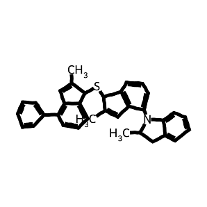 CC1=Cc2c(-c3ccccc3)cccc2C1SC1C(C)=Cc2c1cccc2N1c2ccccc2CC1C